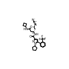 [N-]=[N+]=NCC[C@@H](CC(=O)NC1CCC1)NC(=O)c1cc(-c2ccccc2C(F)(F)F)n(C2CCCC2)n1